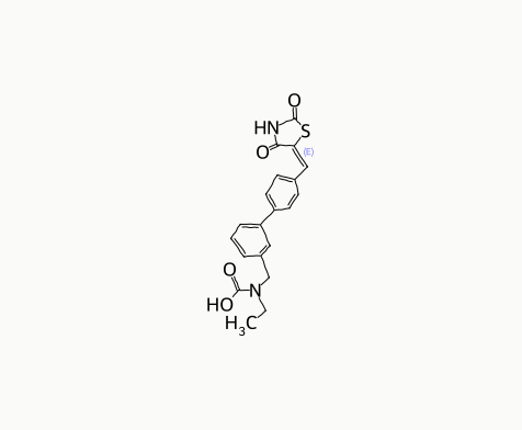 CCN(Cc1cccc(-c2ccc(/C=C3/SC(=O)NC3=O)cc2)c1)C(=O)O